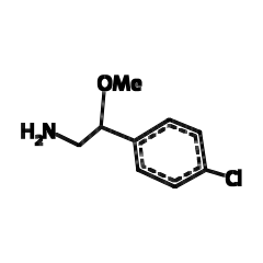 COC(CN)c1ccc(Cl)cc1